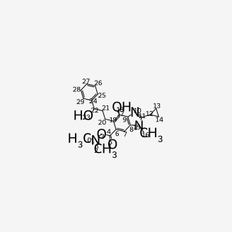 CN(C)OC(=O)c1cc2c(nc(C3CC3)n2C)c(O)c1CCC(O)c1ccccc1